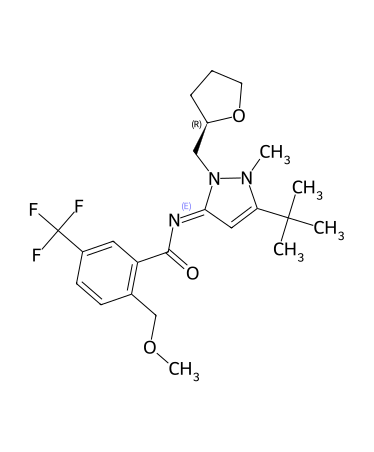 COCc1ccc(C(F)(F)F)cc1C(=O)/N=c1\cc(C(C)(C)C)n(C)n1C[C@H]1CCCO1